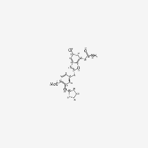 COc1ccc(Cc2nc3cc(Cl)cc(CC(N)=O)c3o2)cc1OC1CCCC1